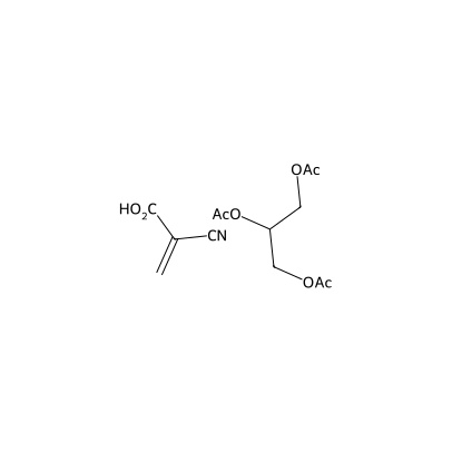 C=C(C#N)C(=O)O.CC(=O)OCC(COC(C)=O)OC(C)=O